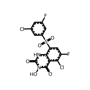 O=c1[nH]c2c(S(=O)(=O)c3cc(F)cc(Cl)c3)cc(F)c(Cl)c2c(=O)n1O